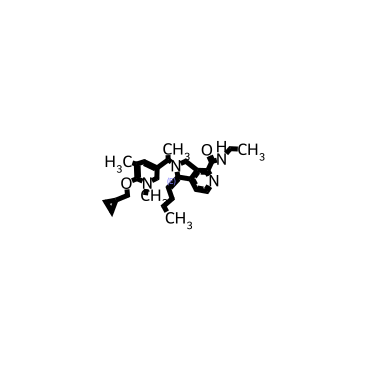 CCC/C=C1\c2ccnc(C(=O)NCC)c2CN1C(C)C1=CC(C)=C(OCC2CC2)N(C)C1